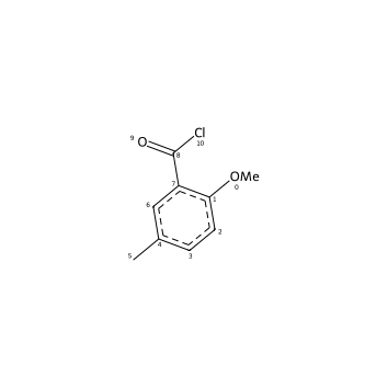 COc1ccc(C)cc1C(=O)Cl